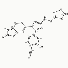 Cn1cc2cc(-n3nc(NCC4CCNC4)cc3-c3ccc(C#N)c(F)c3)ccc2n1